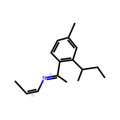 C/C=C\N=C(/C)c1ccc(C)cc1C(C)CC